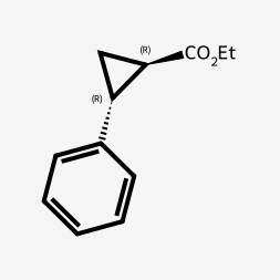 CCOC(=O)[C@@H]1C[C@H]1c1ccccc1